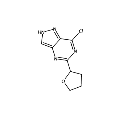 Clc1nc(C2CCCO2)nc2c[nH]nc12